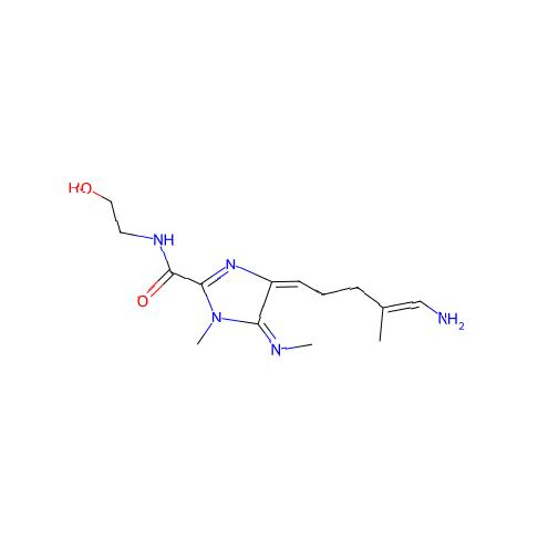 C/N=C1\C(=C/CC/C(C)=C/N)N=C(C(=O)NCCO)N1C